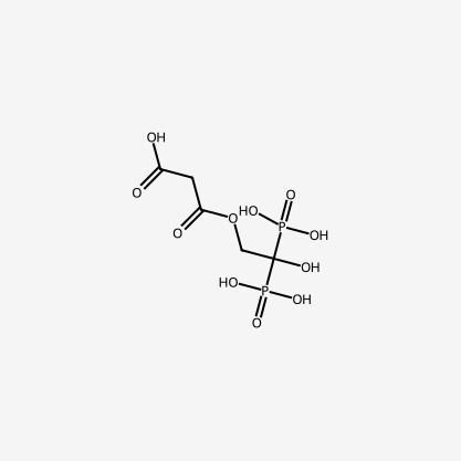 O=C(O)CC(=O)OCC(O)(P(=O)(O)O)P(=O)(O)O